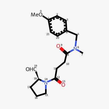 COc1ccc(CN(C)C(=O)CCC(=O)N2CCC[C@H]2C=O)cc1